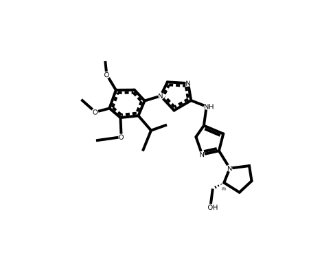 COc1cc(-n2cnc(NC3=CC(N4CCC[C@@H]4CO)=NC3)c2)c(C(C)C)c(OC)c1OC